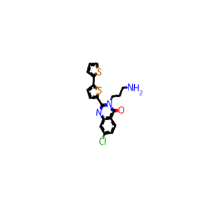 NCCCn1c(-c2ccc(-c3cccs3)s2)nc2cc(Cl)ccc2c1=O